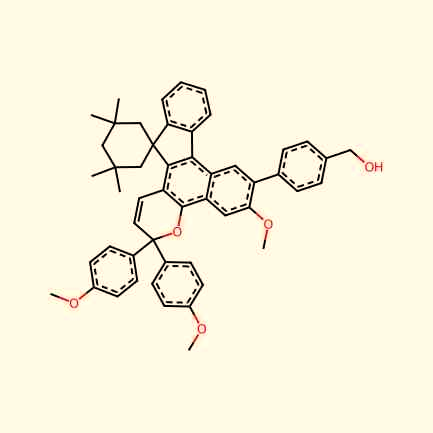 COc1ccc(C2(c3ccc(OC)cc3)C=Cc3c4c(c5cc(-c6ccc(CO)cc6)c(OC)cc5c3O2)-c2ccccc2C42CC(C)(C)CC(C)(C)C2)cc1